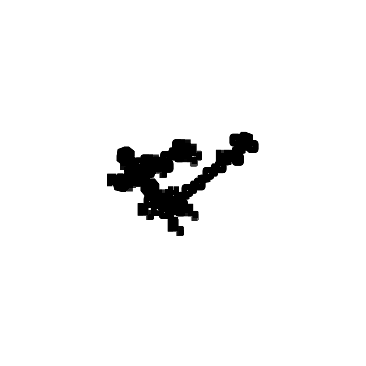 CC(NC(=O)C(NC(=O)CCOCCOCCOCCOCCNC(=O)CCN1C(=O)C=CC1=O)C(C)C)C(=O)Nc1ccc(C(=O)N(CCCNC(=O)OCC[Si](C)(C)C)C(c2cc(-c3cc(F)ccc3F)cn2Cc2ccccc2)C(C)(C)C)cc1